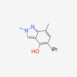 Cc1cc(C(C)C)c(O)c2cn(C)nc12